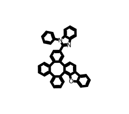 c1ccc(-n2c(-c3ccc4c(c3)-c3ccc5c(oc6ccccc65)c3-c3ccccc3-c3ccccc3-4)nc3ccccc32)cc1